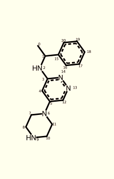 CC(Nc1cc(N2CCNCC2)cnn1)c1ccccc1